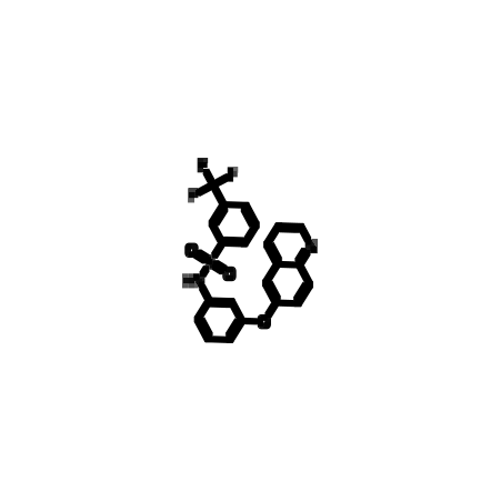 O=S(=O)(Nc1cccc(Oc2ccc3ncccc3c2)c1)c1cccc(C(F)(F)F)c1